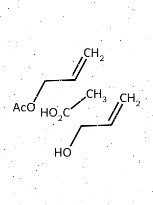 C=CCO.C=CCOC(C)=O.CC(=O)O